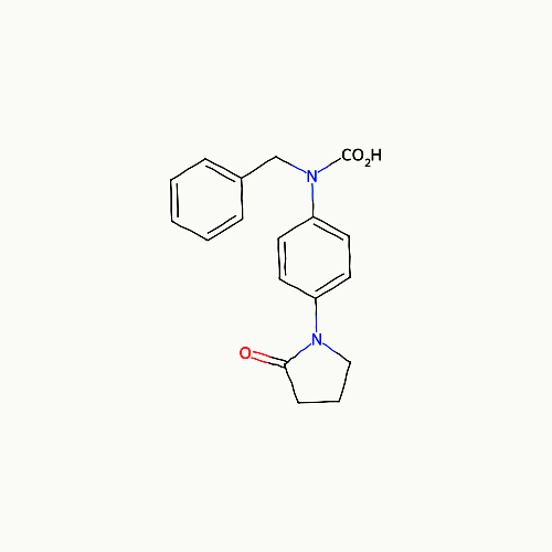 O=C(O)N(Cc1ccccc1)c1ccc(N2CCCC2=O)cc1